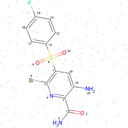 NC(=O)c1nc(Br)c(S(=O)(=O)c2ccc(F)cc2)cc1N